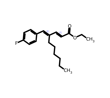 CCCCCCC(/C=C/C(=O)OCC)=C\c1ccc(F)cc1